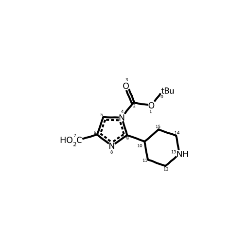 CC(C)(C)OC(=O)n1cc(C(=O)O)nc1C1CCNCC1